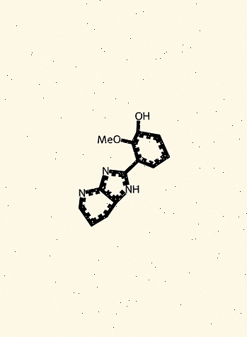 COc1c(O)cccc1-c1nc2ncccc2[nH]1